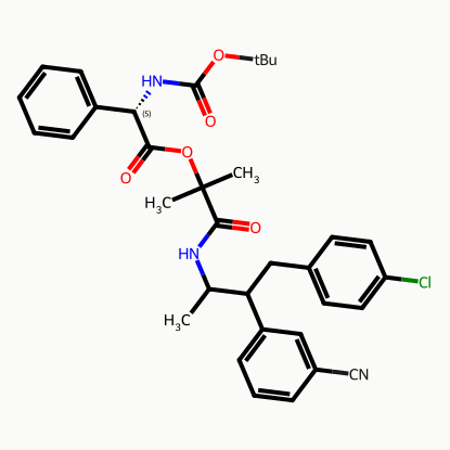 CC(NC(=O)C(C)(C)OC(=O)[C@@H](NC(=O)OC(C)(C)C)c1ccccc1)C(Cc1ccc(Cl)cc1)c1cccc(C#N)c1